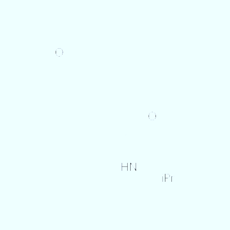 CC(C)NC(=O)CCC[O]